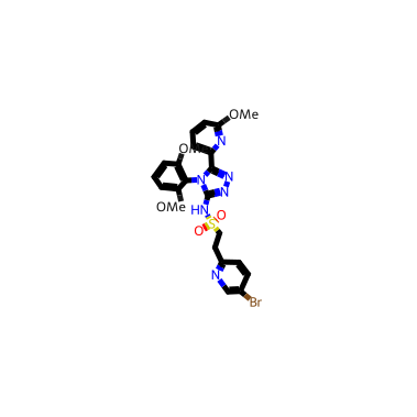 COc1cccc(-c2nnc(NS(=O)(=O)CCc3ccc(Br)cn3)n2-c2c(OC)cccc2OC)n1